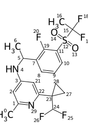 Cc1cc(NC(C)c2cccc(S(=O)(=O)C(C)(F)F)c2F)cc(C2(C(F)F)CC2)n1